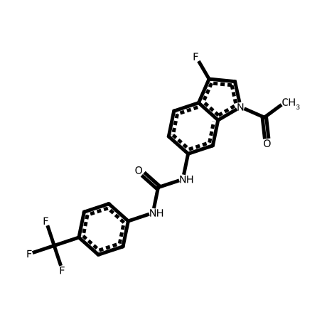 CC(=O)n1cc(F)c2ccc(NC(=O)Nc3ccc(C(F)(F)F)cc3)cc21